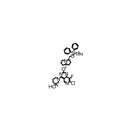 CC(C)(C)[Si](OC[C@H]1CC[C@@]2(COc3nc(N4CCC[C@@](C)(O)C4)c4cnc(Cl)c(F)c4n3)CCCN12)(c1ccccc1)c1ccccc1